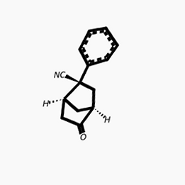 N#C[C@@]1(c2ccccc2)C[C@@H]2C[C@H]1CC2=O